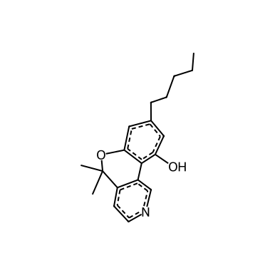 CCCCCc1cc(O)c2c(c1)OC(C)(C)c1ccncc1-2